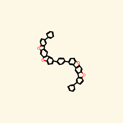 c1ccc(-c2ccc3oc4cc5oc6ccc(-c7ccc(-c8ccc9oc%10cc%11oc%12ccc(-c%13ccccc%13)cc%12c%11cc%10c9c8)cc7)cc6c5cc4c3c2)cc1